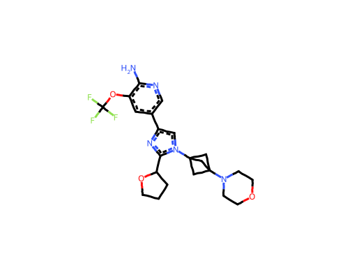 Nc1ncc(-c2cn(C34CC(N5CCOCC5)(C3)C4)c(C3CCCO3)n2)cc1OC(F)(F)F